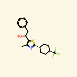 Cc1nc([C@H]2CC[C@H](C(F)(F)F)CC2)sc1C(O)Cc1ccccc1